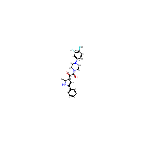 CC1NC(c2ccccc2)=CC1C(=O)C(=O)N1CCN(c2ccc(F)c(F)c2)CC1